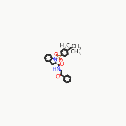 CC(C)(C)c1ccc(S(=O)(=O)N2c3ccccc3C[C@H]2C(=O)NCC(=O)c2ccccc2)cc1